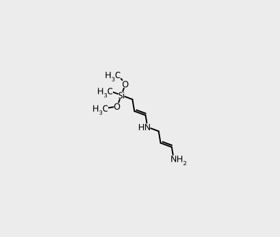 CO[Si](C)(CC=CNCC=CN)OC